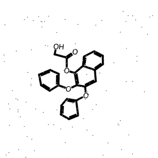 O=C(CO)Oc1c(Oc2ccccc2)c(Oc2ccccc2)cc2ccccc12